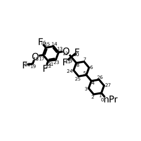 CCCC1CCC(C2CCC(C(F)(F)Oc3cc(F)c(OCF)c(F)c3)CC2)CC1